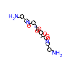 Cc1c(CC(=O)N2CCC(c3cccc(CN)c3)CC2)c(=O)oc2cc3c(cc12)OB(/C=C/c1cccc(C(=O)N2CCC(c4cccc(CN)c4)CC2)c1)O3